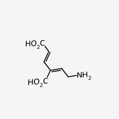 NCC=C(/C=C/C(=O)O)C(=O)O